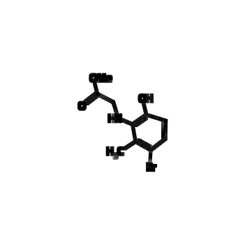 COC(=O)CNc1c(O)ccc(Br)c1C